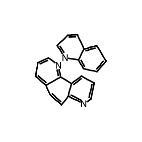 c1ccc2ncccc2c1.c1cnc2c(c1)ccc1ncccc12